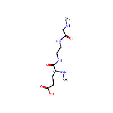 CNCC(=O)NCCNC(=O)[C@H](CCC(=O)O)NC